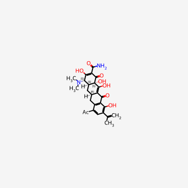 C=C(C)c1cc(C(C)=O)c2c(c1O)C(=O)C1=C(O)[C@]3(O)C(=O)C(C(N)=O)=C(O)[C@@H](N(C)C)[C@@H]3C[C@@H]1C2